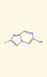 N#Cc1cn2cc(I)nc2cn1